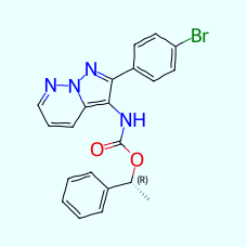 C[C@@H](OC(=O)Nc1c(-c2ccc(Br)cc2)nn2ncccc12)c1ccccc1